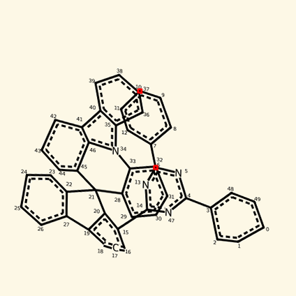 c1ccc(-c2nc(-c3ccccc3)nc(-c3cccc4c3C3(c5ccccc5-4)c4ccccc4-n4c5ccccc5c5cccc3c54)n2)cc1